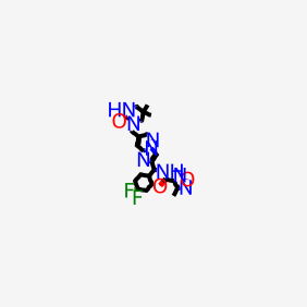 Cc1nonc1C(=O)NC(c1cn2ncc(CN3CC(C)(C)CNC3=O)cc2n1)C1CCC(F)(F)CC1